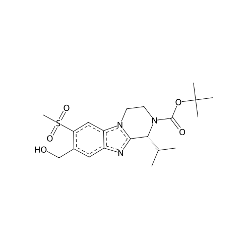 CC(C)[C@@H]1c2nc3cc(CO)c(S(C)(=O)=O)cc3n2CCN1C(=O)OC(C)(C)C